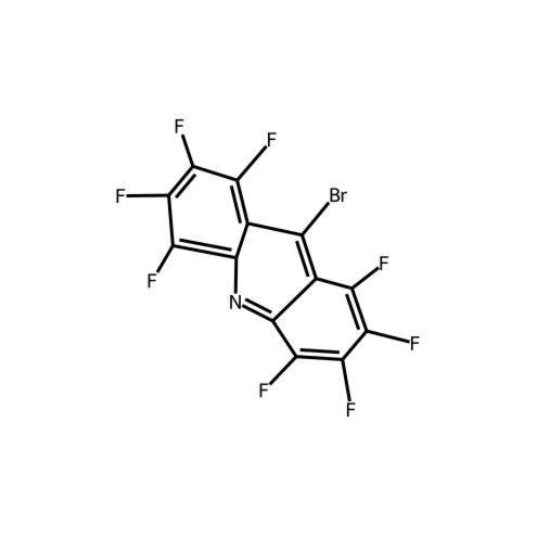 Fc1c(F)c(F)c2c(Br)c3c(F)c(F)c(F)c(F)c3nc2c1F